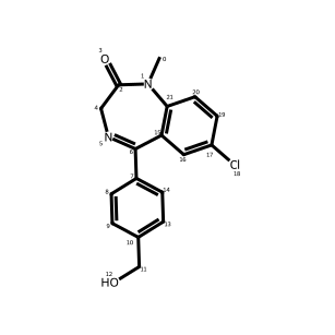 CN1C(=O)CN=C(c2ccc(CO)cc2)c2cc(Cl)ccc21